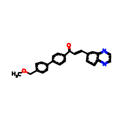 COCc1ccc(-c2ccc(C(=O)/C=C/c3ccc4nccnc4c3)cc2)cc1